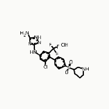 Cl.Nc1nc(Nc2cc(Cl)c(-c3ccc(S(=O)(=O)C4CCCNC4)cc3)c(C(F)(F)F)c2)n[nH]1